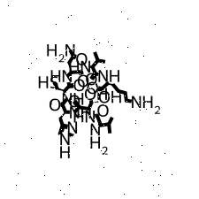 CC(C)[C@H](N)C(=O)N[C@H](C(=O)N[C@@H](Cc1c[nH]cn1)C(=O)N[C@@H](CS)C(=O)N[C@@H](CC(N)=O)C(=O)N[C@H](C(=O)N[C@@H](CCCCN)C(=O)O)C(C)C)[C@@H](C)O